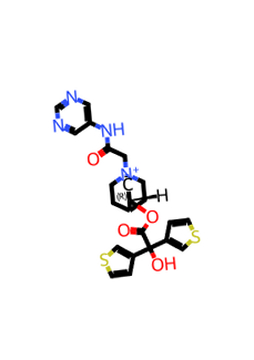 O=C(C[N+]12CCC(CC1)[C@@H](OC(=O)C(O)(c1ccsc1)c1ccsc1)C2)Nc1cncnc1